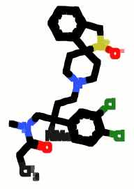 CN[C@](CCN1CCC2(CC1)c1ccccc1C[S+]2[O-])(CN(C)C(=O)CC(F)(F)F)c1ccc(Cl)c(Cl)c1